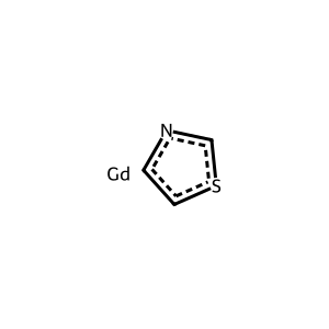 [Gd].c1cscn1